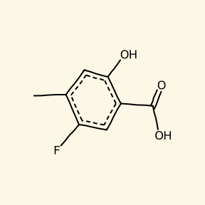 Cc1cc(O)c(C(=O)O)cc1F